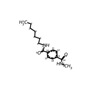 CCCCCCCNC(=O)c1ccc(C(=O)NC)cc1